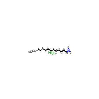 Br.CCCCCCCCCCCCCCCCCCCCCCN(C)C